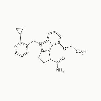 NC(=O)C1CCc2c1c1c(OCC(=O)O)cccc1n2Cc1ccccc1C1CC1